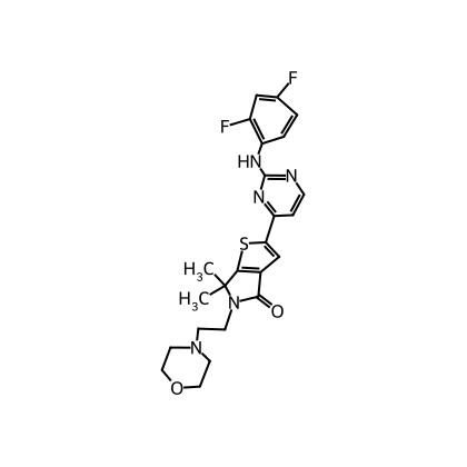 CC1(C)c2sc(-c3ccnc(Nc4ccc(F)cc4F)n3)cc2C(=O)N1CCN1CCOCC1